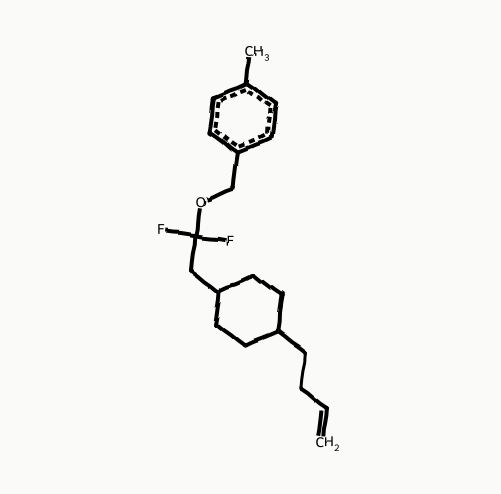 C=CCCC1CCC(CC(F)(F)OCc2ccc(C)cc2)CC1